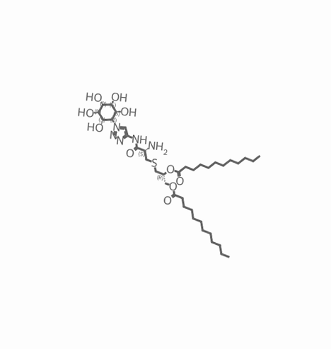 CCCCCCCCCCCC(=O)OC[C@H](CSC[C@@H](N)C(=O)Nc1cn([C@@H]2[C@H](O)[C@H](O)[C@@H](O)[C@H](O)[C@H]2O)nn1)OC(=O)CCCCCCCCCCC